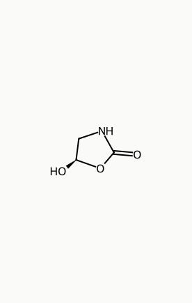 O=C1NC[C@H](O)O1